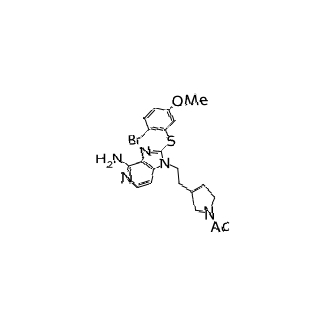 COc1ccc(Br)c(Sc2nc3c(N)nccc3n2CCC2CCN(C(C)=O)C2)c1